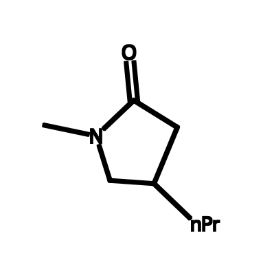 CCCC1CC(=O)N(C)C1